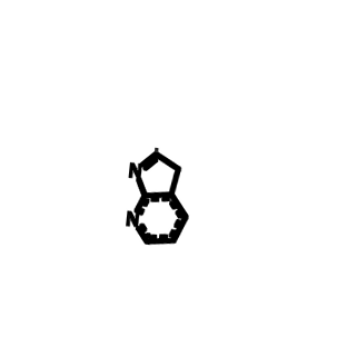 [C]1=Nc2ncccc2C1